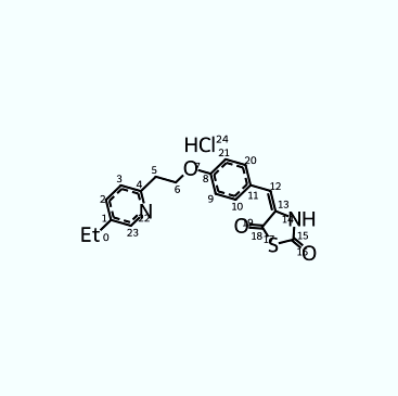 CCc1ccc(CCOc2ccc(C=C3NC(=O)SC3=O)cc2)nc1.Cl